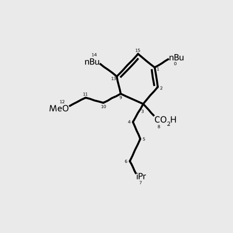 CCCCC1=CC(CCCC(C)C)(C(=O)O)C(CCOC)C(CCCC)=C1